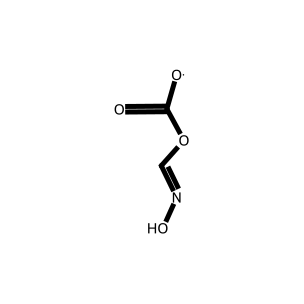 [O]C(=O)OC=NO